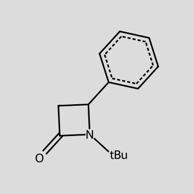 CC(C)(C)N1C(=O)CC1c1ccccc1